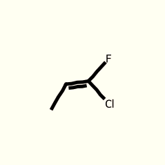 C/C=C(/F)Cl